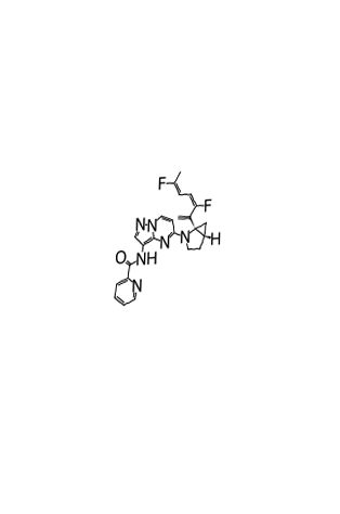 C=C(/C(F)=C\C=C(/C)F)[C@@]12C[C@@H]1CCN2c1ccn2ncc(NC(=O)c3ccccn3)c2n1